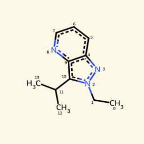 CCn1nc2cccnc2c1C(C)C